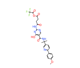 COc1ccc(-c2ccc(C(C)(C)NC(=O)c3cnc(NC(=O)CCC(=O)OC(=O)C(F)(F)F)nc3O)cn2)cc1